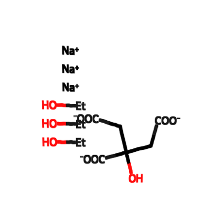 CCO.CCO.CCO.O=C([O-])CC(O)(CC(=O)[O-])C(=O)[O-].[Na+].[Na+].[Na+]